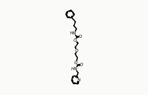 O=C(NCCCc1ccccc1)OCCOCCOC(=O)NCc1ccccn1